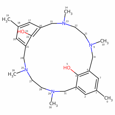 Cc1cc2c(O)c(c1)CN(C)CCN(C)Cc1cc(C)cc(c1O)CN(C)CCN(C)C2